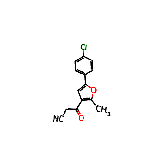 Cc1oc(-c2ccc(Cl)cc2)cc1C(=O)CC#N